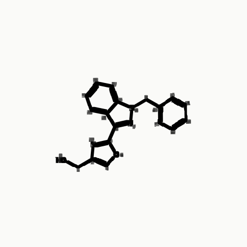 OCc1coc(-c2nn(Cc3ccccc3)c3ccccc23)n1